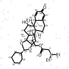 CCN(CC)CC(=O)OCC(=O)[C@@]12O[C@H](C3CCCCC3)OC1C[C@H]1[C@@H]3CCC4=CC(=O)C=C[C@]4(C)[C@H]3C(O)C[C@@]12C